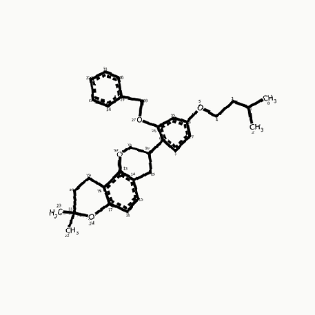 CC(C)CCOc1ccc(C2COc3c(ccc4c3CCC(C)(C)O4)C2)c(OCc2ccccc2)c1